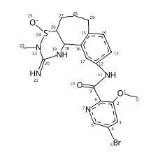 COc1cc(Br)cnc1C(=O)Nc1ccc2c(c1)C1NC(=N)N(C)[S+]([O-])C1CCC2